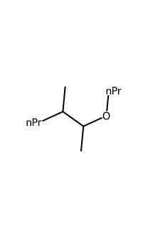 CCCOC(C)C(C)CCC